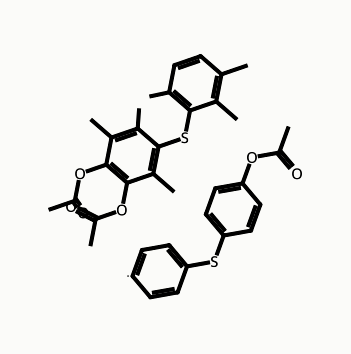 CC(=O)Oc1c(C)c(C)c(Sc2c(C)ccc(C)c2C)c(C)c1OC(C)=O.CC(=O)Oc1ccc(Sc2cc[c]cc2)cc1